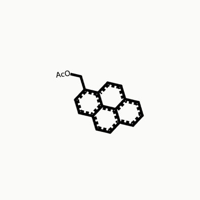 CC(=O)OCc1ccc2ccc3cccc4ccc1c2c34